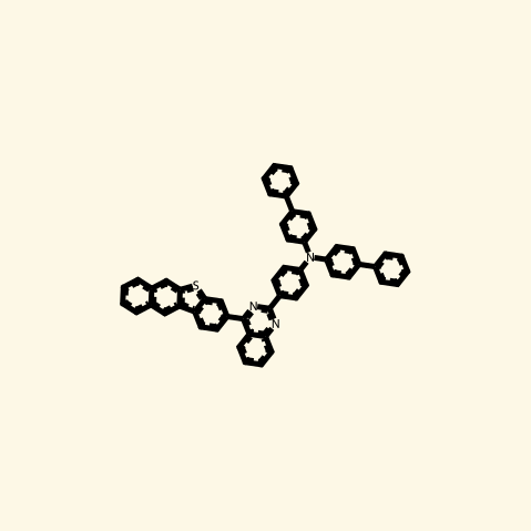 c1ccc(-c2ccc(N(c3ccc(-c4ccccc4)cc3)c3ccc(-c4nc(-c5ccc6c(c5)sc5cc7ccccc7cc56)c5ccccc5n4)cc3)cc2)cc1